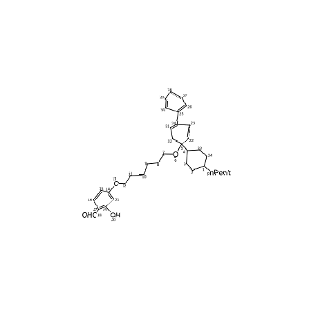 CCCCCC1CCC(C2(OCCCCCCOc3ccc(C=O)c(O)c3)C=CC(c3ccccc3)=CC2)CC1